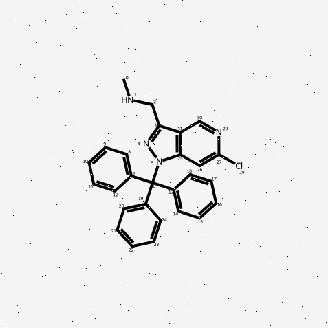 CNCc1nn(C(c2ccccc2)(c2ccccc2)c2ccccc2)c2cc(Cl)ncc12